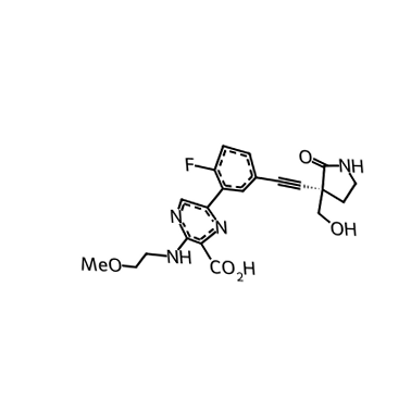 COCCNc1ncc(-c2cc(C#C[C@@]3(CO)CCNC3=O)ccc2F)nc1C(=O)O